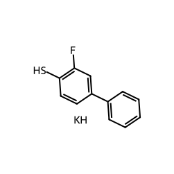 Fc1cc(-c2ccccc2)ccc1S.[KH]